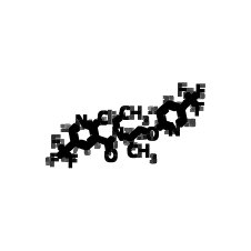 CCN(C(=O)c1cc(C(F)(F)F)cnc1Cl)[C@@H](C)COc1ccc(C(F)(F)F)cn1